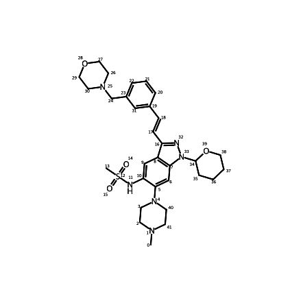 CN1CCN(c2cc3c(cc2NS(C)(=O)=O)c(C=Cc2cccc(CN4CCOCC4)c2)nn3C2CCCCO2)CC1